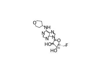 O[C@@H]1[C@H](O)[C@@H](CF)O[C@H]1n1cnc2c(NC3CCOCC3)ncnc21